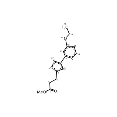 COC(=O)CCc1nc(-c2cccc(OCC(F)(F)F)c2)no1